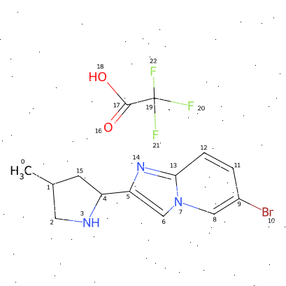 CC1CNC(c2cn3cc(Br)ccc3n2)C1.O=C(O)C(F)(F)F